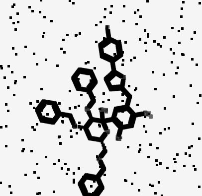 Cc1cc(Br)c(C2(O)O[C@H](COCc3ccccc3)C[C@H](OCc3ccccc3)[C@H]2OCc2ccccc2)cc1Cc1ccc(-c2ccc(F)cc2)s1